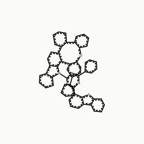 c1ccc(-c2ccc3oc4ccccc4c4ccccc4c4ccc5c6ccccc6n(-c6nc(-c7ccccc7)nc(-c7cccc8c7sc7ccccc78)n6)c5c4c3c2)cc1